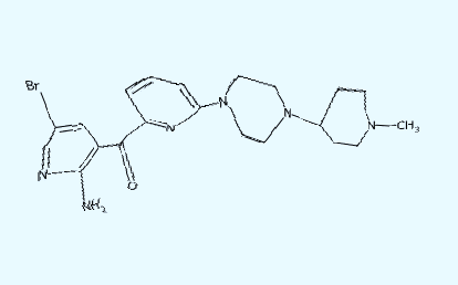 CN1CCC(N2CCN(c3cccc(C(=O)c4cc(Br)cnc4N)n3)CC2)CC1